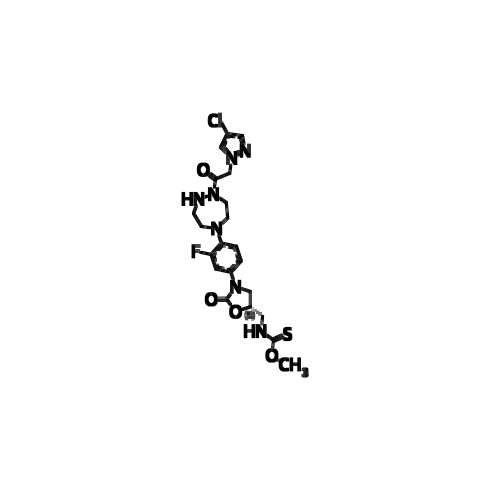 COC(=S)NC[C@H]1CN(c2ccc(N3CCNN(C(=O)Cn4cc(Cl)cn4)CC3)c(F)c2)C(=O)O1